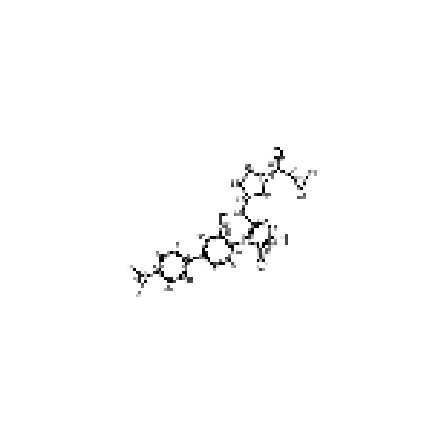 CN(C)c1ccc(-c2ccc(-n3c(CC4CCN(C(=O)C5CC5)C4)n[nH]c3=O)c(F)c2)cc1